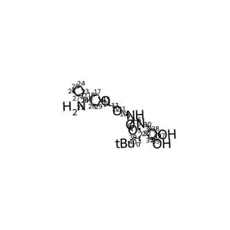 CC(CC(=O)N(CC(=O)NCCOCCOc1ccc(C(N)c2ccccc2)cc1)Cc1ccc(O)c(O)c1)CC(C)(C)C